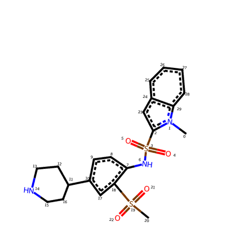 Cn1c(S(=O)(=O)Nc2ccc(C3CCNCC3)cc2S(C)(=O)=O)cc2ccccc21